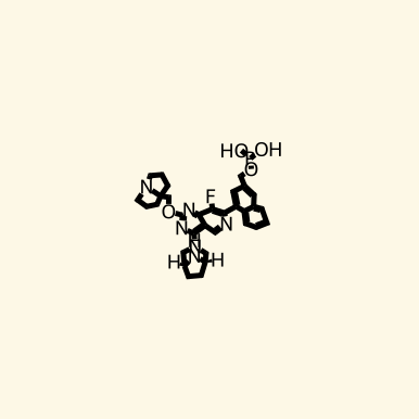 OP(O)OCc1cc(-c2ncc3c(N4C[C@H]5CC[C@@H](C4)N5)nc(OCC45CCCN4CCC5)nc3c2F)c2ccccc2c1